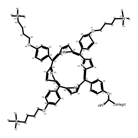 CCCCCCCC(CCC)Oc1ccc(-c2c3nc(c(-c4ccc(OCCCC[N+](C)(C)C)cc4)c4ccc([nH]4)c(-c4ccc(OCCCC[N+](C)(C)C)cc4)c4nc(c(-c5ccc(OCCCC[N+](C)(C)C)cc5)c5ccc2[nH]5)C=C4)C=C3)cc1